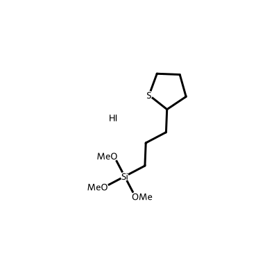 CO[Si](CCCC1CCCS1)(OC)OC.I